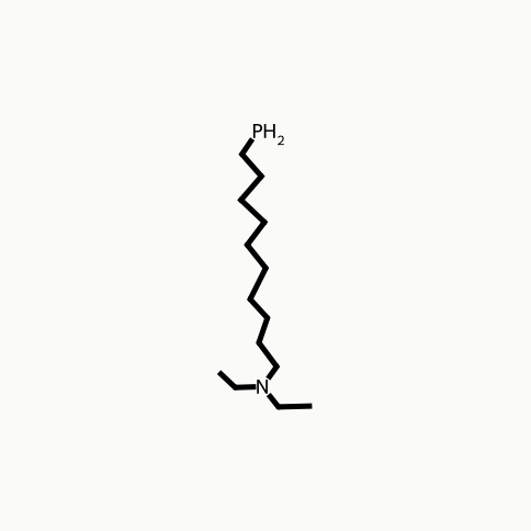 CCN(CC)CCCCCCCCCCP